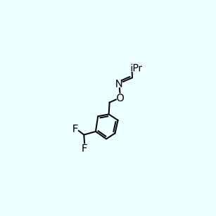 CC(C)C=NOCc1cccc(C(F)F)c1